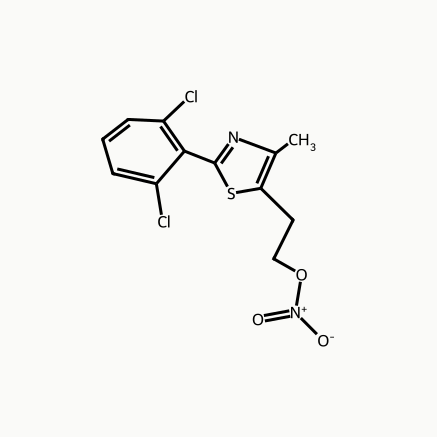 Cc1nc(-c2c(Cl)cccc2Cl)sc1CCO[N+](=O)[O-]